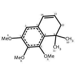 COc1cc2c(c(OC)c1OC)C(C)(C)CC=C2